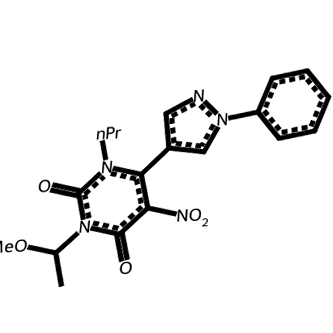 CCCn1c(-c2cnn(-c3ccccc3)c2)c([N+](=O)[O-])c(=O)n(C(C)OC)c1=O